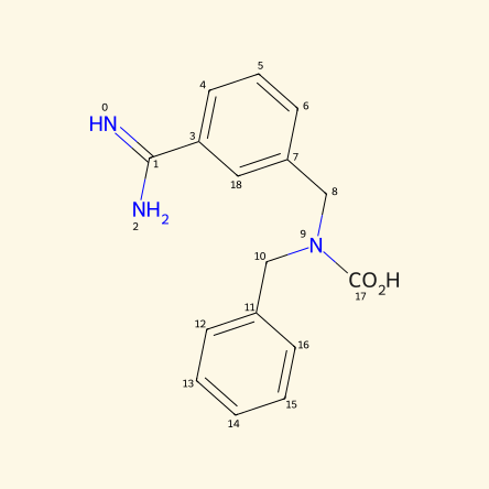 N=C(N)c1cccc(CN(Cc2ccccc2)C(=O)O)c1